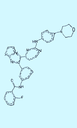 O=C(Nc1cccc(-c2nc3sccn3c2-c2ccnc(Nc3ccc(N4CCOCC4)cc3)n2)c1)c1ccccc1F